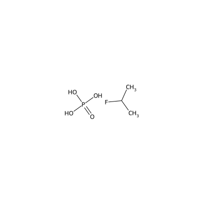 CC(C)F.O=P(O)(O)O